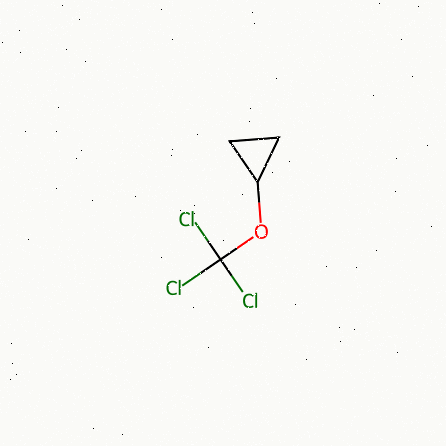 ClC(Cl)(Cl)OC1CC1